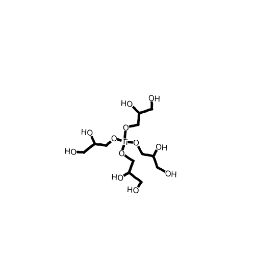 OCC(O)C[O][Ti]([O]CC(O)CO)([O]CC(O)CO)[O]CC(O)CO